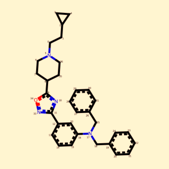 [CH](CC1CC1)N1CCC(c2nc(-c3cccc(N(Cc4ccccc4)Cc4ccccc4)c3)no2)CC1